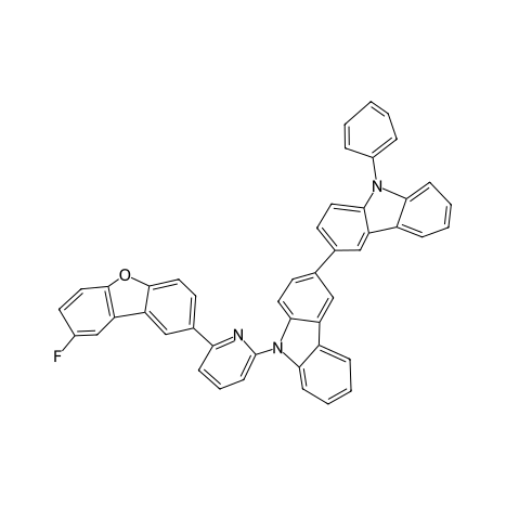 Fc1ccc2oc3ccc(-c4cccc(-n5c6ccccc6c6cc(-c7ccc8c(c7)c7ccccc7n8-c7ccccc7)ccc65)n4)cc3c2c1